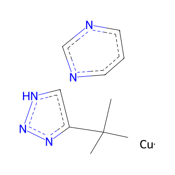 CC(C)(C)c1c[nH]nn1.[Cu].c1cncnc1